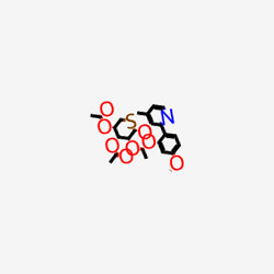 COc1ccc(-c2nccc(C)c2O[C@H]2SC[C@@H](OC(C)=O)[C@H](OC(C)=O)[C@H]2OC(C)=O)cc1